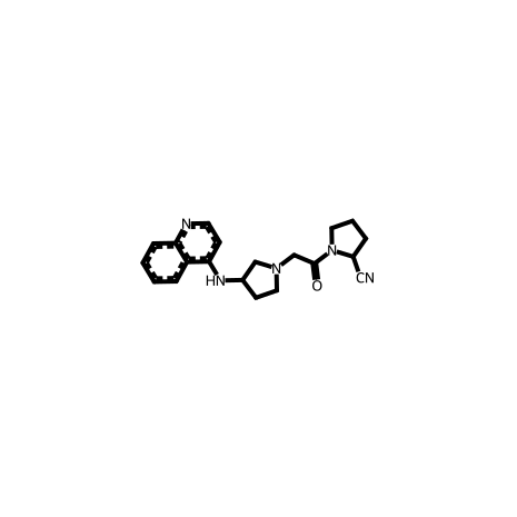 N#CC1CCCN1C(=O)CN1CCC(Nc2ccnc3ccccc23)C1